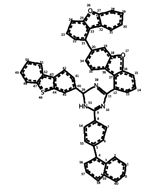 c1ccc2c(-c3ccc(C4=NC(c5cccc6oc7cc(-c8cccc9oc%10ccccc%10c89)ccc7c56)=NC(c5ccc6c(c5)sc5ccccc56)N4)cc3)cccc2c1